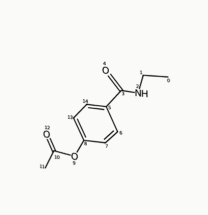 CCNC(=O)c1ccc(OC(C)=O)cc1